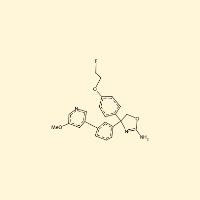 COc1cncc(-c2cccc(C3(c4ccc(OCCF)cc4)COC(N)=N3)c2)c1